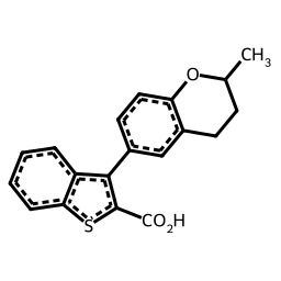 CC1CCc2cc(-c3c(C(=O)O)sc4ccccc34)ccc2O1